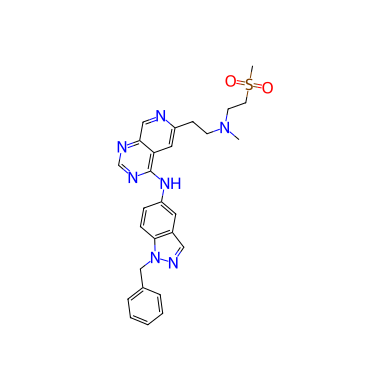 CN(CCc1cc2c(Nc3ccc4c(cnn4Cc4ccccc4)c3)ncnc2cn1)CCS(C)(=O)=O